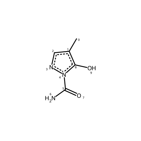 Cc1cnn(C(N)=O)c1O